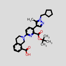 Cc1c(-c2ccc(N3CCc4cccc(C(=O)O)c4C3)nc2C(=O)OC(C)(C)C)cnn1CC1CCCC1